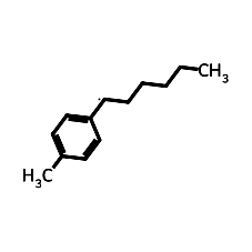 CCCCC[CH]c1ccc(C)cc1